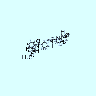 COc1cnc2cccc(NC(=O)C3CCCC(CNCc4ccc5c(n4)NC(=O)CS5)C3)c2n1